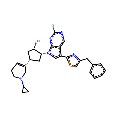 O[C@@H]1C[C@@H](C2=CCCN(C3CC3)C2)C[C@H]1n1cc(-c2nc(Cc3ccccc3)cs2)c2cnc(Cl)nc21